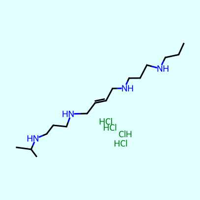 CCCNCCCNC/C=C/CNCCCNC(C)C.Cl.Cl.Cl.Cl